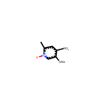 COc1c[n+]([O-])c(C)cc1[N+](=O)[O-]